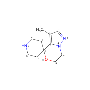 Cc1cnn2c1C1(CCNCC1)OCC2